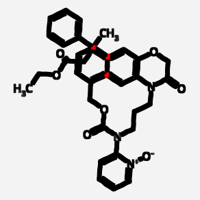 CCOC(=O)CC(C)(c1ccccc1)c1ccc2c(c1)OCC(=O)N2CCCN(C(=O)OCc1ccccc1)c1cccc[n+]1[O-]